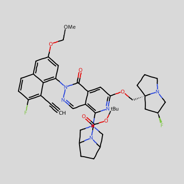 C#Cc1c(F)ccc2cc(OCOC)cc(-n3ncc4c(N5CC6CCC(C5)N6C(=O)OC(C)(C)C)nc(OC[C@]56CCCN5C[C@@H](F)C6)cc4c3=O)c12